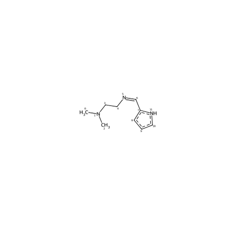 CN(C)CC/N=C\c1ccc[nH]1